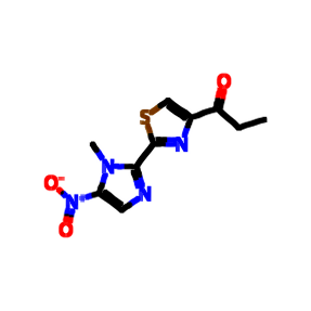 CCC(=O)c1csc(-c2ncc([N+](=O)[O-])n2C)n1